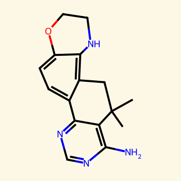 CC1(C)Cc2c(ccc3c2NCCO3)-c2ncnc(N)c21